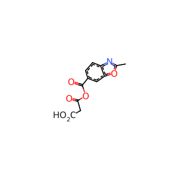 Cc1nc2ccc(C(=O)OC(=O)CC(=O)O)cc2o1